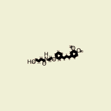 COc1ccc(CCCc2cccc(OCCNC(=O)CCCO)c2)cc1OC